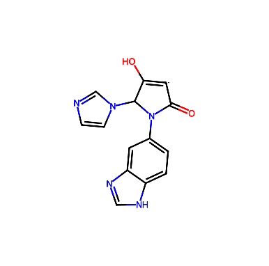 O=C1[C]=C(O)C(n2ccnc2)N1c1ccc2[nH]cnc2c1